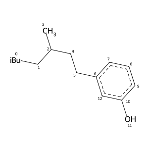 CCC(C)CC(C)CCc1cccc(O)c1